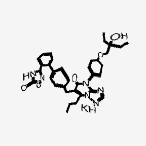 CCCc1c(Cc2ccc(-c3ccccc3-c3noc(=O)[nH]3)cc2)c(=O)n(C2CCC(OCC(O)(CC)CC)CC2)c2ncnn12.[KH]